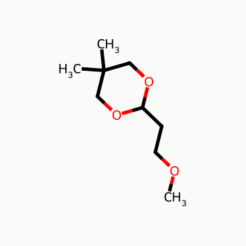 COCCC1OCC(C)(C)CO1